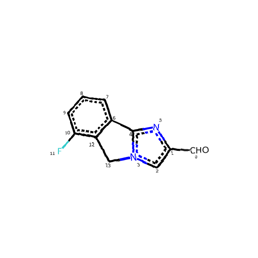 O=Cc1cn2c(n1)-c1cccc(F)c1C2